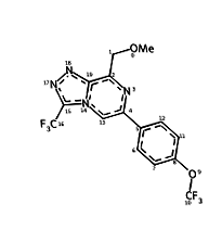 COCc1nc(-c2ccc(OC(F)(F)F)cc2)cn2c(C(F)(F)F)nnc12